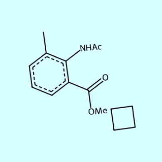 C1CCC1.COC(=O)c1cccc(C)c1NC(C)=O